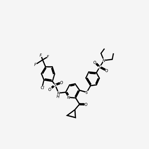 CCN(CC)S(=O)(=O)c1ccc(Sc2ccc(NS(=O)(=O)c3ccc(C(F)(F)F)cc3Cl)nc2C(=O)C2CC2)cc1